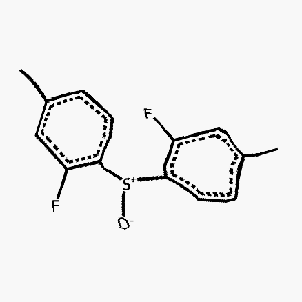 Cc1ccc([S+]([O-])c2ccc(C)cc2F)c(F)c1